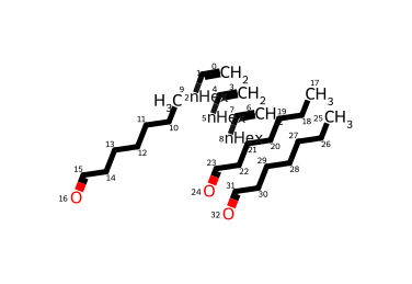 C=CCCCCCC.C=CCCCCCC.C=CCCCCCC.CCCCCCC=O.CCCCCCC=O.CCCCCCC=O